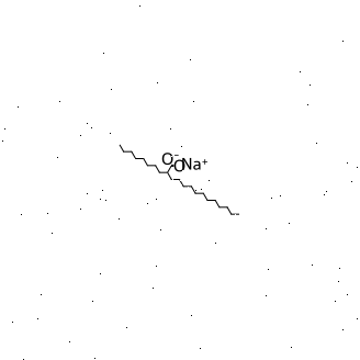 CCCCCCCCCCCCC(CCCCCCCC)C(=O)[O-].[Na+]